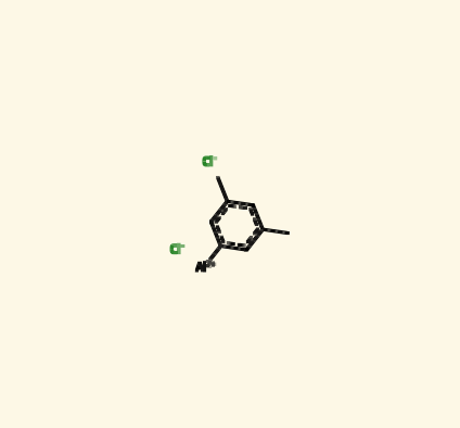 Cc1cc(C)c[c]([Al+2])c1.[Cl-].[Cl-]